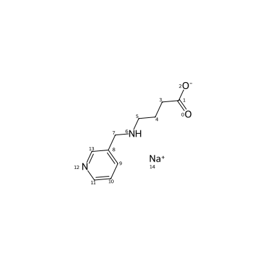 O=C([O-])CCCNCc1cccnc1.[Na+]